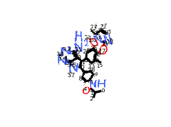 C=C(C)C(=O)Nc1ccc(-c2c(-c3cc(C)c(Oc4nccc(C)n4)c(OC)c3)c3c(N)ncnc3n2C)cc1